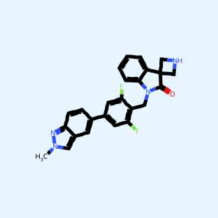 Cn1cc2cc(-c3cc(F)c(CN4C(=O)C5(CNC5)c5ccccc54)c(F)c3)ccc2n1